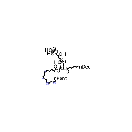 CCCCC/C=C\C/C=C\C/C=C\C/C=C\CCCC(=O)O[C@H](COC(=O)CCCCCCCCCCCCCCC)COP(=O)(O)OC[C@@H](O)COP(=O)(O)O